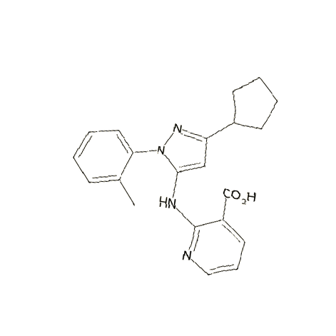 Cc1ccccc1-n1nc(C2CCCC2)cc1Nc1ncccc1C(=O)O